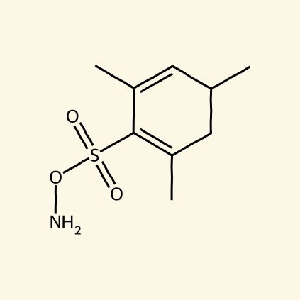 CC1=CC(C)CC(C)=C1S(=O)(=O)ON